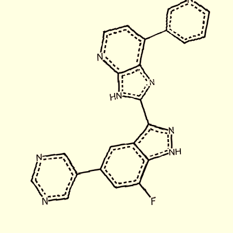 Fc1cc(-c2cncnc2)cc2c(-c3nc4c(-c5cccnc5)ccnc4[nH]3)n[nH]c12